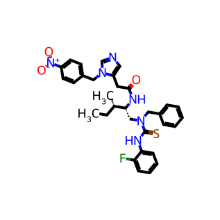 CC[C@H](C)[C@@H](CN(Cc1ccccc1)C(=S)Nc1ccccc1F)NC(=O)Cc1cncn1Cc1ccc([N+](=O)[O-])cc1